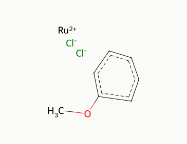 COc1ccccc1.[Cl-].[Cl-].[Ru+2]